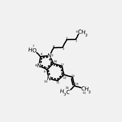 CCCCCn1c(O)nc2ncc(C=C(C)C)cc21